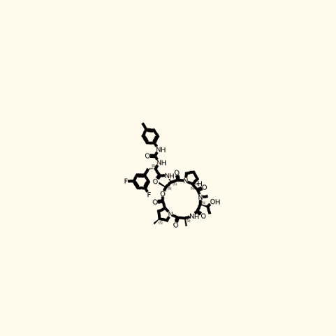 Cc1ccc(NC(=O)N[C@@H](Cc2cc(F)cc(F)c2)C(=O)N[C@@H]2C(=O)N3CCC[C@H]3C(=O)N(C)[C@@H](C(C)O)C(=O)N[C@@H](C)C(=O)N3C[C@@H](C)CC3C(=O)O[C@H]2C)cc1